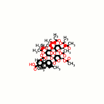 CC(=O)OC[C@H]1O[C@@H](O[C@@H]2[C@@H](O[C@@H]3O[C@H](COC(C)=O)[C@@H](OC(C)=O)[C@H](OC(C)=O)[C@H]3OC(C)=O)[C@H](O[C@]34CC[C@@H]5[C@](CC[C@H]6[C@@]5(C)CCC[C@@]6(C)C(=O)O)(CC3C)C4)O[C@H](COC(C)=O)[C@H]2OC(C)=O)[C@H](OC(C)=O)[C@@H](OC(C)=O)[C@@H]1OC(C)=O